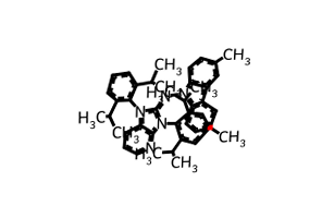 Cc1ccc2c(c1)c1cc(C)ccc1n2N=c1n(-c2c(C(C)C)cccc2C(C)C)c2cccnc2n1-c1c(C(C)C)cccc1C(C)C